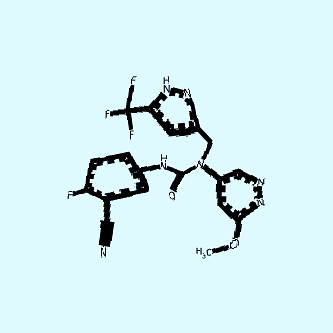 COc1cc(N(Cc2cc(C(F)(F)F)[nH]n2)C(=O)Nc2ccc(F)c(C#N)c2)cnn1